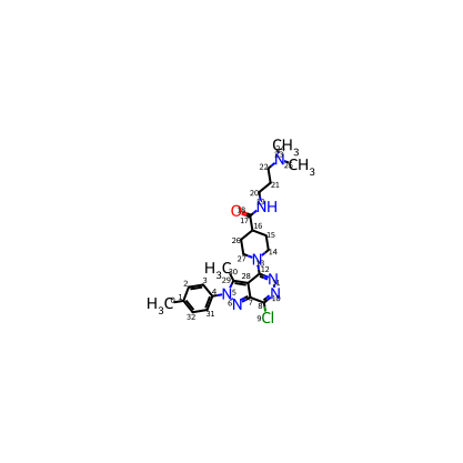 Cc1ccc(-n2nc3c(Cl)nnc(N4CCC(C(=O)NCCCN(C)C)CC4)c3c2C)cc1